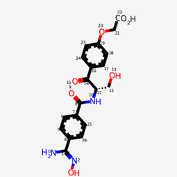 N/C(=N\O)c1ccc(C(=O)N[C@@H](CO)C(=O)c2ccc(OCC(=O)O)cc2)cc1